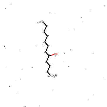 CCCCCCCCCCCCCCCC(O)CCCS(=O)(=O)O